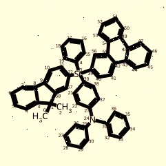 CC1(C)c2ccccc2-c2ccc([Si](c3ccccc3)(c3ccc(N(c4ccccc4)c4ccccc4)cc3)c3ccc4c5ccccc5c5ccccc5c4c3)cc21